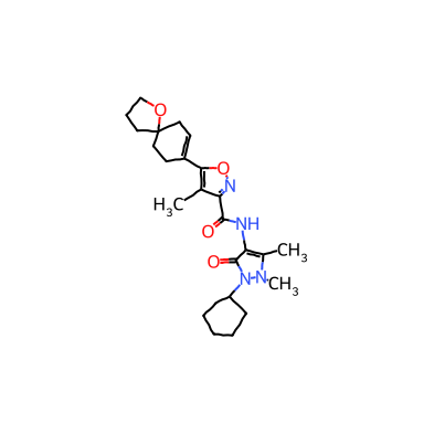 Cc1c(C(=O)Nc2c(C)n(C)n(C3CCCCC3)c2=O)noc1C1=CCC2(CCCO2)CC1